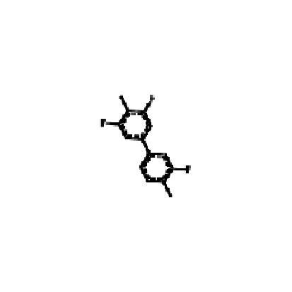 Cc1ccc(-c2cc(F)c(C)c(F)c2)cc1F